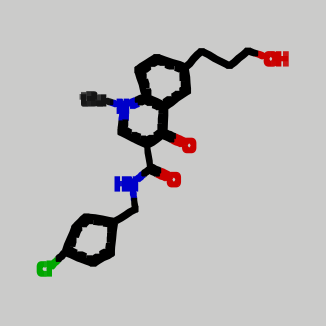 CC(C)(C)n1cc(C(=O)NCc2ccc(Cl)cc2)c(=O)c2cc(CCCO)ccc21